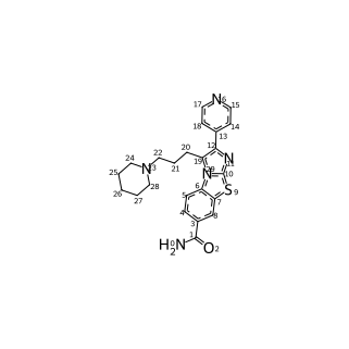 NC(=O)c1ccc2c(c1)sc1nc(-c3ccncc3)c(CCCN3CCCCC3)n12